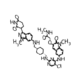 CNC(=O)COc1cc2cc(Nc3nc(NC[C@H]4CC[C@H](CNc5ccc6c(C7CCC(=O)NC7=O)nn(C)c6c5)CC4)ncc3Cl)ccc2n(C)c1=O